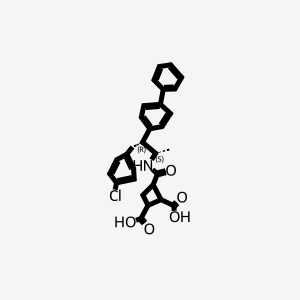 C[C@H](NC(=O)C1CC(C(=O)O)C1C(=O)O)[C@H](Cc1ccc(Cl)cc1)c1ccc(-c2ccccc2)cc1